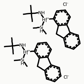 C[SiH](C)[Hf+]([NH]C(C)(C)C)[c]1cccc2c1Cc1ccccc1-2.C[SiH](C)[Hf+]([NH]C(C)(C)C)[c]1cccc2c1Cc1ccccc1-2.[Cl-].[Cl-]